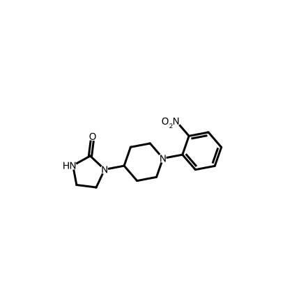 O=C1NCCN1C1CCN(c2ccccc2[N+](=O)[O-])CC1